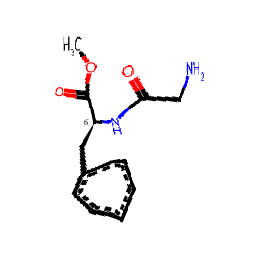 COC(=O)[C@H](Cc1ccccc1)NC(=O)CN